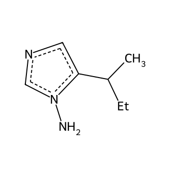 CCC(C)c1cncn1N